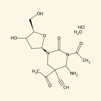 C#CC1(C(C)=O)CN([C@H]2CC(O)[C@@H](CO)O2)C(=O)N(C(C)=O)C1N.Cl.O